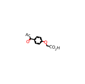 CC(=O)C(=O)c1ccc(OCC(=O)O)cc1